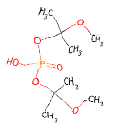 COC(C)(C)OP(=O)(O)OC(C)(C)OC